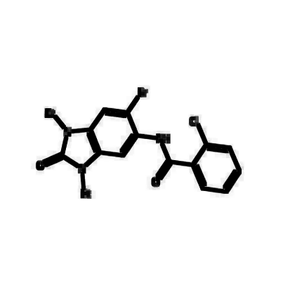 CCn1c(=O)n(CC)c2cc(NC(=O)c3ccccc3Cl)c(Br)cc21